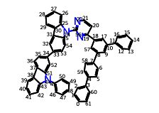 c1ccc(-c2ccc(-c3cc(-c4ccccc4)cc(-c4ccnc(-n5c6ccccc6c6cc(-c7ccc8c9ccccc9n(-c9ccccc9)c8c7)ccc65)n4)c3)cc2)cc1